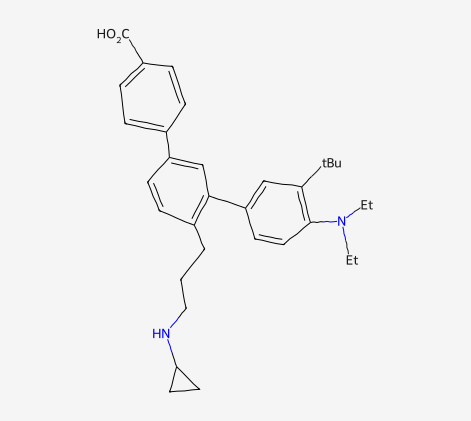 CCN(CC)c1ccc(-c2cc(-c3ccc(C(=O)O)cc3)ccc2CCCNC2CC2)cc1C(C)(C)C